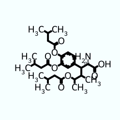 CC(C)CC(=O)Oc1ccc(C(C(C)C(C)OC(=O)CC(C)C)[C@H](N)C(=O)O)cc1OC(=O)CC(C)C